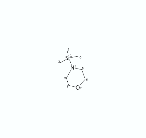 C[Si](C)(C)N1CCOCC1